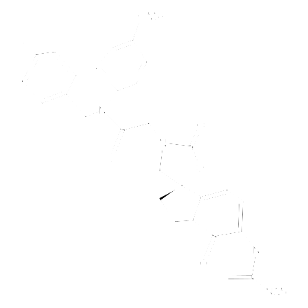 CNC(=O)NC1=CC=C2C(CC[C@]23CN(CC(=O)N(Cc2ccc(F)cc2)c2ccc(OC)cc2)C(=O)O3)C1=O